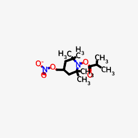 CC(C)C(=O)ON1C(C)(C)CC(CO[N+](=O)[O-])CC1(C)C